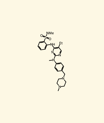 CCc1cnc(N(C)c2ccc(CN3CCN(C)CC3)cc2)nc1Nc1ccccc1S(=O)(=O)NC